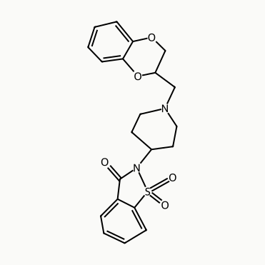 O=C1c2ccccc2S(=O)(=O)N1C1CCN(CC2COc3ccccc3O2)CC1